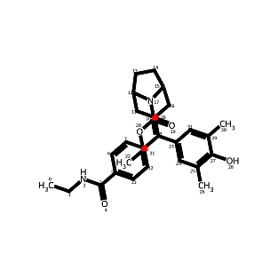 CCNC(=O)c1ccc(C(=C2CC3CCC(C2)N3C(=O)OCC)c2cc(C)c(O)c(C)c2)cc1